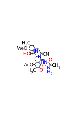 COc1c(C)cc2c(c1O)[C@H]1NC(C2)[C@H](C#N)N2C1Cc1c(OC(C)=O)c(C)c3c(c1[C@@H]2CNC(=O)[C@H](C)N)OCO3